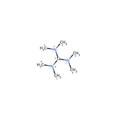 C[N](C)[Ta]([N](C)C)[N](C)C